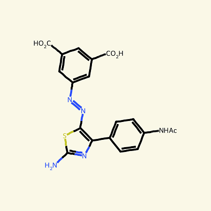 CC(=O)Nc1ccc(-c2nc(N)sc2N=Nc2cc(C(=O)O)cc(C(=O)O)c2)cc1